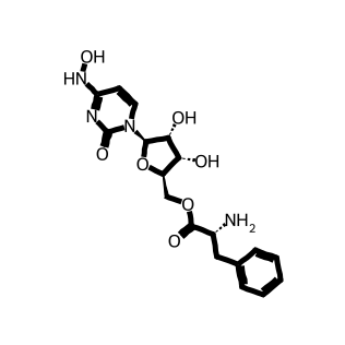 N[C@H](Cc1ccccc1)C(=O)OC[C@H]1O[C@@H](n2ccc(NO)nc2=O)[C@H](O)[C@@H]1O